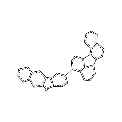 c1ccc2cc3c(cc2c1)oc1ccc(-c2ccc4c5c(cccc25)-c2ccc5ccccc5c2-4)cc13